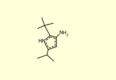 CC(C)c1cc(N)c(C(C)(C)C)[nH]1